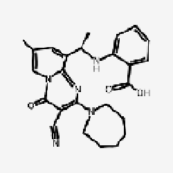 Cc1cc([C@@H](C)Nc2ccccc2C(=O)O)c2nc(N3CCCCCC3)c(C#N)c(=O)n2c1